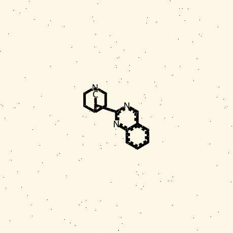 c1ccc2nc(C3CN4CCC3CC4)ncc2c1